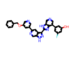 Oc1cc(F)cc(-c2cncc3[nH]c(-c4n[nH]c5cnc(-c6cncc(OCc7ccccc7)c6)cc45)nc23)c1